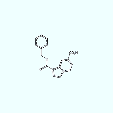 O=C(O)c1ccc2ccn(C(=O)OCc3ccccc3)c2c1